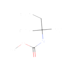 CCOC(=O)CC(NC(=O)OC(C)(C)C)(C(=O)OCC)C(=O)OCC